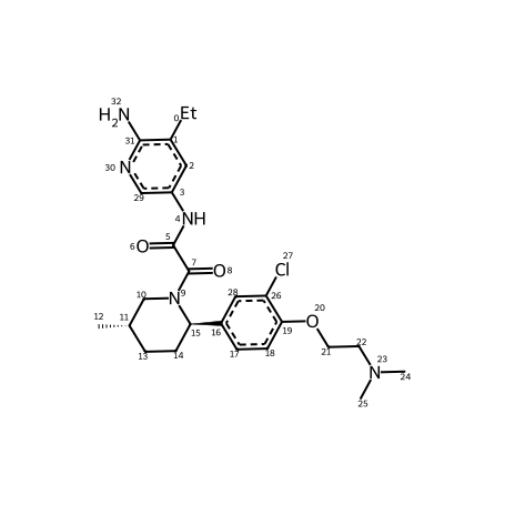 CCc1cc(NC(=O)C(=O)N2C[C@@H](C)CC[C@@H]2c2ccc(OCCN(C)C)c(Cl)c2)cnc1N